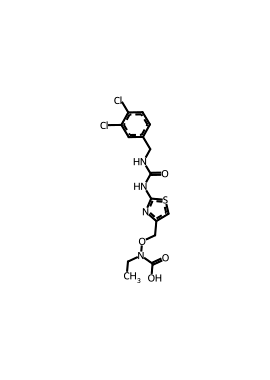 CCN(OCc1csc(NC(=O)NCc2ccc(Cl)c(Cl)c2)n1)C(=O)O